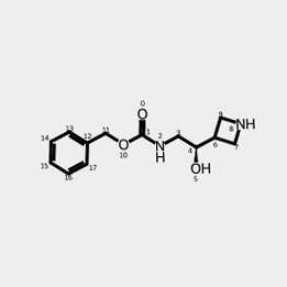 O=C(NC[C@H](O)C1CNC1)OCc1ccccc1